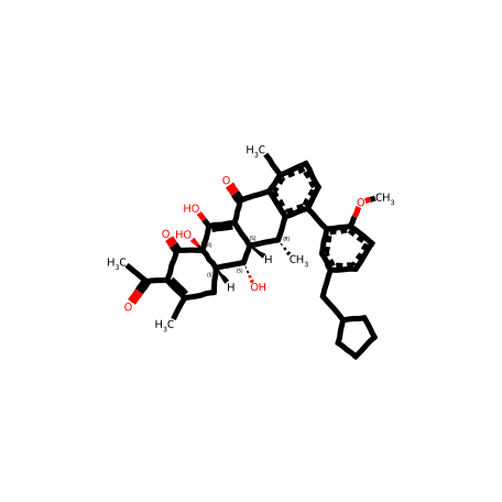 COc1ccc(CC2CCCC2)cc1-c1ccc(C)c2c1[C@H](C)[C@H]1C(=C(O)[C@@]3(O)C(=O)C(C(C)=O)=C(C)C[C@H]3[C@H]1O)C2=O